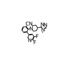 Cn1cnnc1C1CCN(c2c(C#N)cccc2-c2cnc(F)c(F)c2)CC1